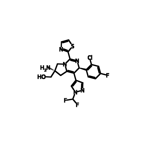 N[C@@]1(CO)CC2=C(c3cnn(C(F)F)c3)[C@H](c3ccc(F)cc3Cl)N=C(c3nccs3)N2C1